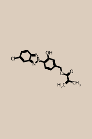 C=C(C)C(=O)OCc1ccc(-n2nc3ccc(Cl)cc3n2)c(O)c1